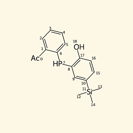 CC(=O)c1ccccc1Pc1cc([Si](C)(C)C)ccc1O